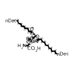 CCCCCCCCCCCCCCCCCCCCC(=O)O[C@H](COC(=O)CCCCCCCCCCCCCCCCCC)COP(=O)(O)OC[C@H](N)C(=O)O